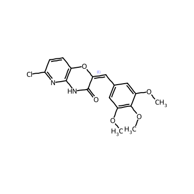 COc1cc(/C=C2/Oc3ccc(Cl)nc3NC2=O)cc(OC)c1OC